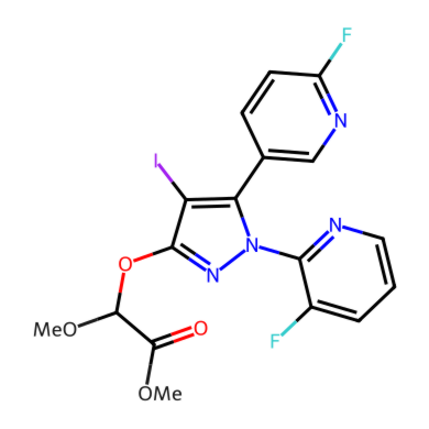 COC(=O)C(OC)Oc1nn(-c2ncccc2F)c(-c2ccc(F)nc2)c1I